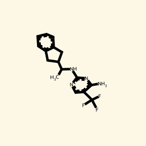 CC(Nc1ncc(C(F)(F)F)c(N)n1)C1Cc2ccccc2C1